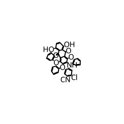 N#Cc1ccc(Nc2c(Oc3ccccc3)c(Oc3ccccc3)c3c(c2Oc2ccccc2)C(=O)c2c(O)ccc(O)c2C3=O)cc1Cl